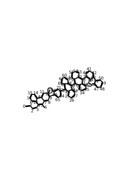 C=C/C=C\c1c(C)c2cc3c(cc2c2ccccc12)oc1cc(-c2c4ccccc4c(-c4c5ccccc5c(-c5cccc6c5sc5ccccc56)c5ccccc45)c4ccccc24)ccc13